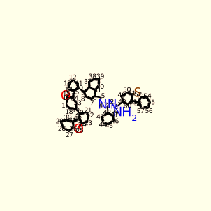 N/C(=N\C(=N/Cc1ccc(-c2cccc3oc4ccc(-c5cccc6oc7ccccc7c56)cc4c23)c2ccccc12)c1ccccc1)c1ccc2sc3ccccc3c2c1